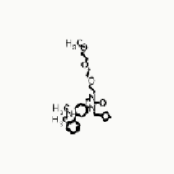 COCCOCCOCCN1C[C@]2(CC[C@@](c3ccccc3)(N(C)C)CC2)N(CC2CCC2)C1=O